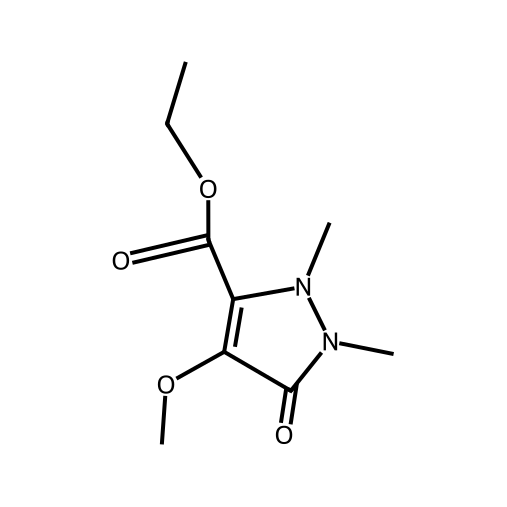 CCOC(=O)c1c(OC)c(=O)n(C)n1C